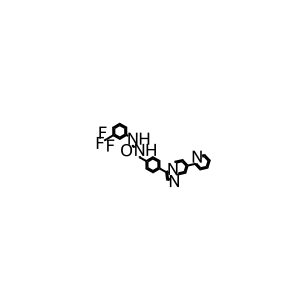 O=C(NCc1ccc(-c2cnc3cc(-c4ccccn4)ccn23)cc1)Nc1cccc(C(F)(F)F)c1